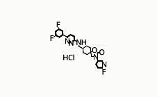 Cl.O=C1OC2(CCC(CNc3ccc(-c4cc(F)cc(F)c4)nn3)CC2)CN1c1ccc(F)nc1